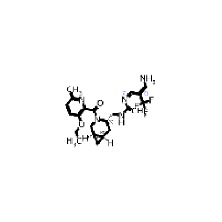 C=C(/N=C\C(=C/N)C(F)(F)F)NC[C@@H]1C[C@H]2C[C@H]2CN1C(=O)c1nc(C)ccc1OCC